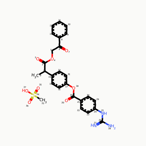 CC(C(=O)OCC(=O)c1ccccc1)c1ccc(OC(=O)c2ccc(NC(=N)N)cc2)cc1.CS(=O)(=O)O